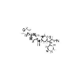 N#Cc1sc2cnc(Nc3cnc(N4CCOCC4)nc3)cc2c1C1CCCCC1